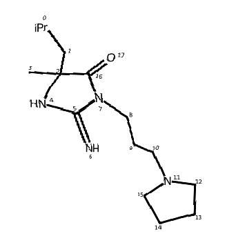 CC(C)CC1(C)NC(=N)N(CCCN2CCCC2)C1=O